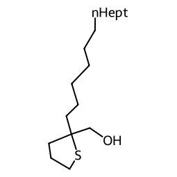 CCCCCCCCCCCCCC1(CO)CCCS1